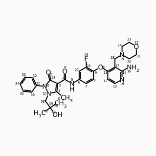 Cc1c(C(=O)Nc2ccc(Oc3ccnc(N)c3CN3CCOCC3)c(F)c2)c(=O)n(-c2ccccc2)n1CC(C)(C)O